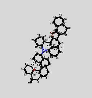 C=C(Cc1ccc2ccc3c(N(c4ccccc4)c4ccccc4-c4cccc5c4sc4c6ccccc6ccc54)cccc3c2c1C)C1=CCCC=C1